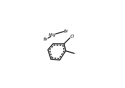 [Br][Mg][Br].[CH2]c1ccccc1Cl